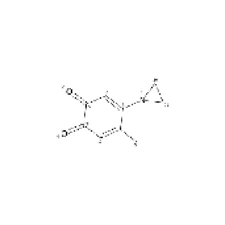 CC1=CC(=O)C(=O)C=C1N1CC1